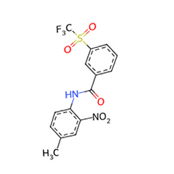 Cc1ccc(NC(=O)c2cccc(S(=O)(=O)C(F)(F)F)c2)c([N+](=O)[O-])c1